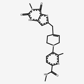 CNC(=O)c1ccc(N2CC=C(Cc3cc4[nH]c(=O)n(C)c(=O)c4s3)CC2)c(C)n1